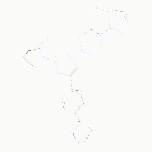 CC1CCCN1c1nc(-c2ccc(-c3ncon3)cc2)cc(N2CCN(c3ncccc3Cl)C[C@H]2C)n1